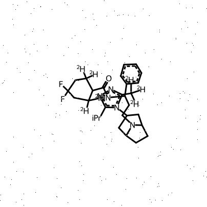 [2H]C([2H])([2H])c1nnc(C(C)C)n1C1CC2CCC(C1)N2CCC(NC(=O)C1C([2H])([2H])CC(F)(F)CC1([2H])[2H])c1ccccc1